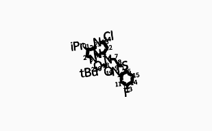 CC(C)c1cnn2c(N(Cc3nc4cc(F)ccc4s3)C(=O)OC(C)(C)C)cc(Cl)nc12